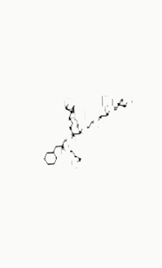 CCC1(COCCOCCOCC(COCC2(CC)COC2)OCC(CC2CCCCC2)OCC2CO2)COC1